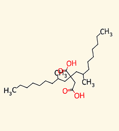 CCCCCCCC(C)CC(CC(=O)O)(CC(C)CCCCCCC)C(=O)O